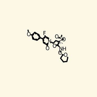 COc1ccc(-c2cc(=O)n(CC[C@](C)(C(=O)NOC3CCCCO3)S(C)(=O)=O)cc2F)cc1